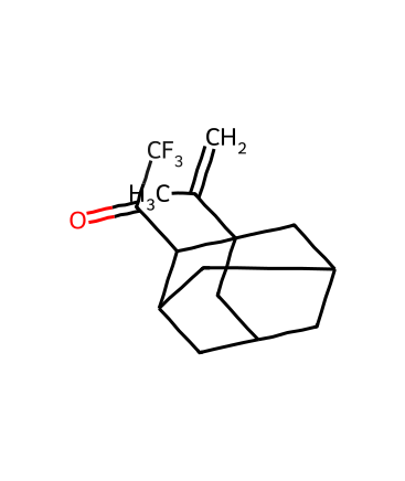 C=C(C)C12CC3CC(CC(C3)C1C(=O)C(F)(F)F)C2